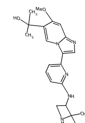 COc1cc2ncc(-c3cccc(NC4CNC4(C)C)n3)n2cc1C(C)(C)O